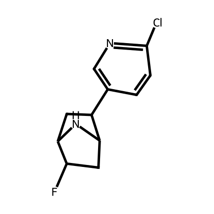 FC1CC2NC1CC2c1ccc(Cl)nc1